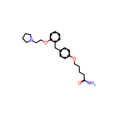 NC(=O)CCCCOc1ccc(Cc2[c]cccc2OCCN2CCCC2)cc1